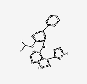 FC(F)Oc1ccc(-c2ccccc2)cc1Nc1ncnc2[nH]nc(-c3cc[nH]n3)c12